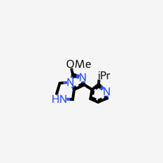 COc1nc(-c2cccnc2C(C)C)c2n1CCNC2